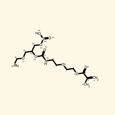 C=C(C)C(=O)OCCOCCNC(=O)OC(COCC(C)CC)COS(=O)O